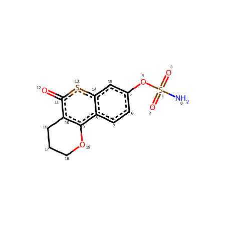 NS(=O)(=O)Oc1ccc2c3c(c(=O)sc2c1)CCCO3